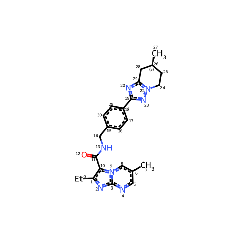 CCc1nc2ncc(C)cn2c1C(=O)NCc1ccc(-c2nc3n(n2)CC[C@H](C)C3)cc1